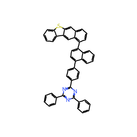 c1ccc(-c2nc(-c3ccccc3)nc(-c3ccc(-c4ccc(-c5cccc6cc7sc8ccccc8c7cc56)c5ccccc45)cc3)n2)cc1